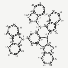 c1ccc2c(N3c4cc(-n5c6ccccc6c6ccccc65)cc5c4B(c4sc6ccccc6c4-5)c4sc5ccccc5c43)csc2c1